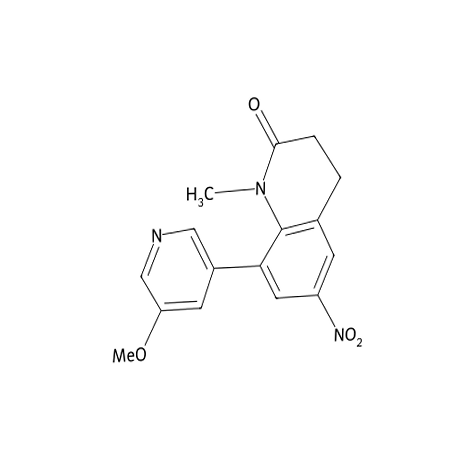 COc1cncc(-c2cc([N+](=O)[O-])cc3c2N(C)C(=O)CC3)c1